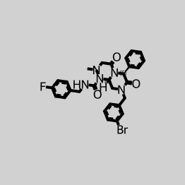 CN1CC(=O)N2[C@@H](c3ccccc3)C(=O)N(Cc3cccc(Br)c3)C[C@@H]2N1C(=O)NCc1ccc(F)cc1